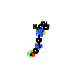 C=C(C)c1ccccc1NC(=S)N/N=C/c1ccc(-c2ncn(-c3ccc(OC(F)(F)F)cc3)n2)cc1